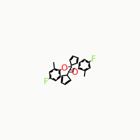 Cc1cc(F)ccc1[O][Zr]([O]c1ccc(F)cc1C)([CH]1C=CC=C1)[CH]1C=CC=C1